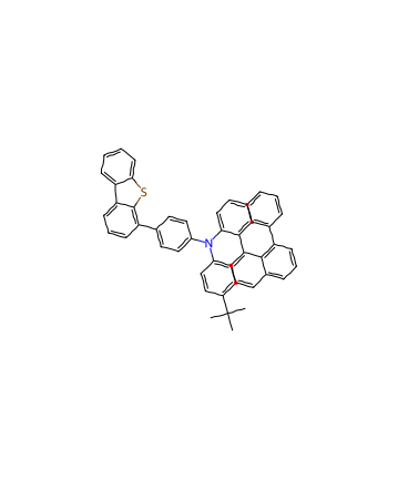 CC(C)(C)c1ccc(N(c2ccc(-c3cccc4c3sc3ccccc34)cc2)c2ccccc2-c2cccc3cccc(-c4ccccc4)c23)cc1